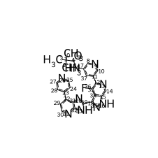 CC(C)(C)C(=O)Nc1cncc(-c2ncc3[nH]nc(-c4nc5c(-c6ccncc6)ccnc5[nH]4)c3c2F)c1